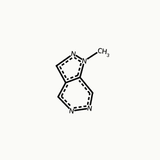 Cn1ncc2cnncc21